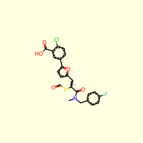 CN(Cc1ccc(F)cc1)C(=O)/C(=C/c1ccc(-c2ccc(Cl)c(C(=O)O)c2)o1)SC=O